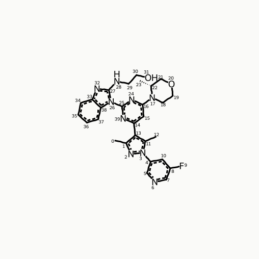 Cc1nn(-c2cncc(F)c2)c(C)c1-c1cc(N2CCOC[C@H]2C)nc(-n2c(NCCO)nc3ccccc32)n1